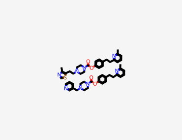 Cc1cccc(CCc2ccc(OC(=O)N3CCN(CCc4scnc4C)CC3)cc2)n1.Cc1cccc(CCc2ccc(OC(=O)N3CCN(Cc4cccnc4)CC3)cc2)n1